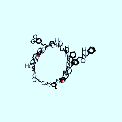 COc1ccc(CC[C@H]2OC(=O)[C@@H]3CCCCN3C(=O)C(O)C(C)(C)COC(=O)/C=C/CCN(C)C(=O)[C@H](CC(C)C)N(C)C(=O)[C@H]3CCCN3C(=O)[C@H](Cc3ccc(CC(=O)NCc4ccccc4)cc3)NC(=O)[C@H](c3ccccc3)NC(=O)CCC(=O)Nc3cccc2c3)cc1OC